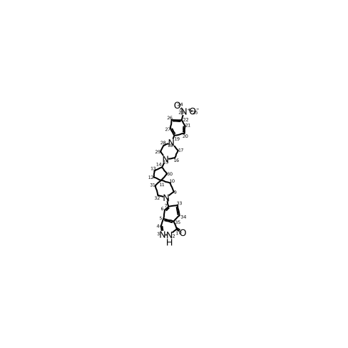 O=c1[nH]ncc2cc(N3CCC4(CCC(N5CCN(c6ccc([N+](=O)[O-])cc6)CC5)C4)CC3)ccc12